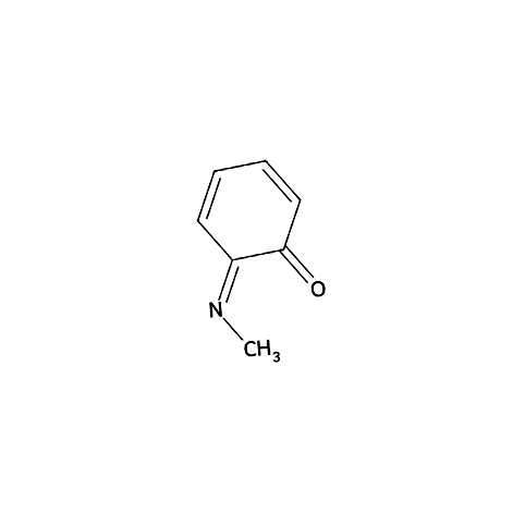 C/N=C1/C=CC=CC1=O